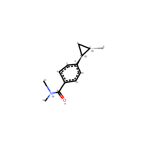 C[C@H]1C[C@@H]1c1ccc(C(=O)N(C)C)cc1